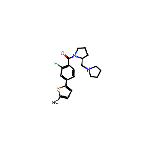 N#Cc1ccc(-c2ccc(C(=O)N3CCC[C@H]3CN3CCCC3)c(F)c2)s1